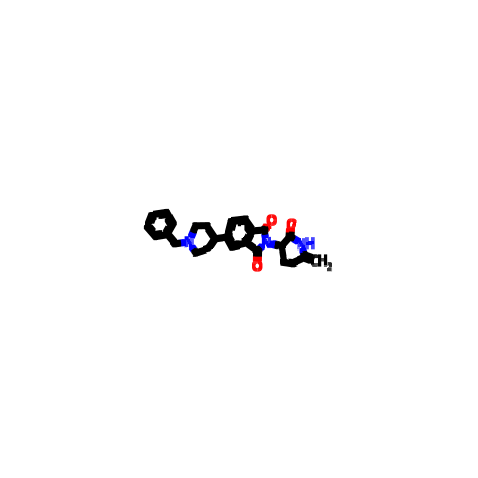 C=C1CCC(N2C(=O)c3ccc(C4CCN(Cc5ccccc5)CC4)cc3C2=O)C(=O)N1